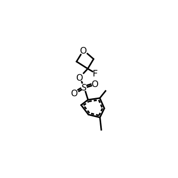 Cc1ccc(S(=O)(=O)OC2(F)COC2)c(C)c1